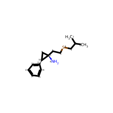 CC(C)CSCC[C@@]1(N)C[C@H]1c1ccccc1